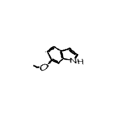 COc1[c]cc2cc[nH]c2c1